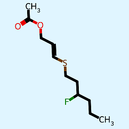 CCCC(F)CCSC=CCOC(C)=O